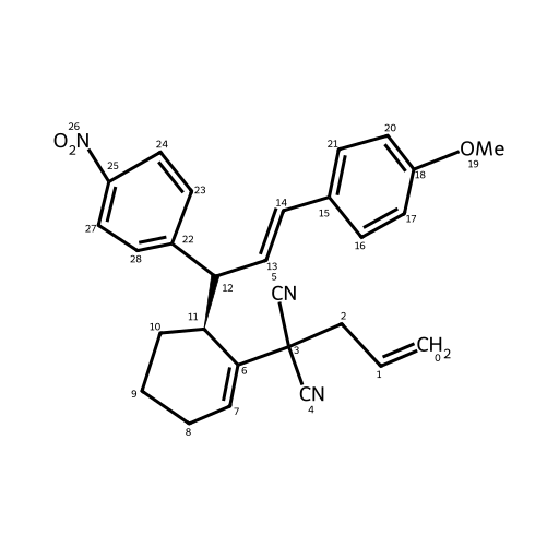 C=CCC(C#N)(C#N)C1=CCCC[C@H]1C(/C=C/c1ccc(OC)cc1)c1ccc([N+](=O)[O-])cc1